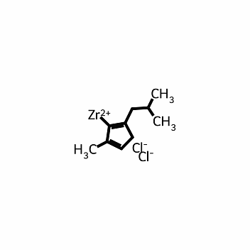 CC1=CCC(CC(C)C)=[C]1[Zr+2].[Cl-].[Cl-]